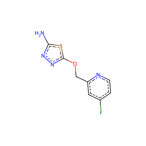 Nc1nnc(OCc2cc(F)ccn2)s1